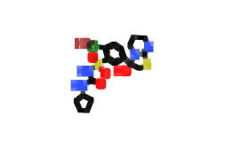 Br.O=C(NC1CCCC1)NS(=O)(=O)c1cc(C2(O)CSC3=NCCCN32)ccc1Cl